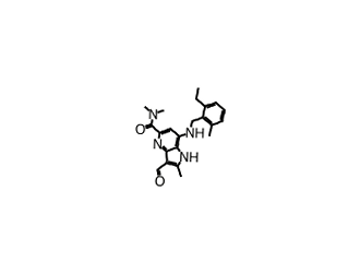 CCc1cccc(C)c1CNc1cc(C(=O)N(C)C)nc2c(C=O)c(C)[nH]c12